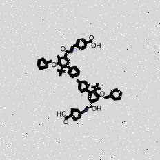 Cc1c(C(=O)/C=C/c2ccc(C(=O)O)cc2)cc(-c2ccccc2)c(C(C)(C)C)c1OCc1ccccc1.Cc1ccc(-c2cc(C(O)/C=C/c3ccc(C(=O)O)cc3)cc(OCc3ccccc3)c2C(C)(C)C)cc1